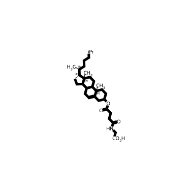 CC(C)CCC[C@@H](C)[C@H]1CCC2C3CC=C4CC(OC(=O)CCC(=O)NCC(=O)O)CC[C@]4(C)C3CC[C@@]21C